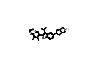 Cc1c(-c2[nH]c3ccc(C4CC5CNCC5C4)cc3c2C(C)C)cn2ncnc2c1C